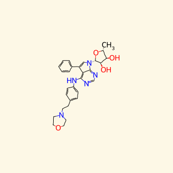 C[C@H]1O[C@@H](n2cc(-c3ccccc3)c3c(Nc4ccc(CCN5CCOCC5)cc4)ncnc32)[C@H](O)[C@@H]1O